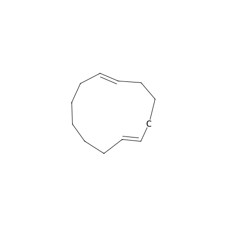 C1=C/CCCCC/C=C/CCC/1